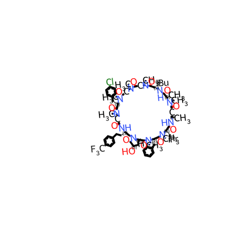 CC[C@H](C)[C@@H]1NC(=O)[C@H](C)N(C)C(=O)C[C@@H](C)NC(=O)[C@H](CC(C)C)N(C)C(=O)[C@H](Cc2ccccc2)N(C)C(=O)[C@@H]2C[C@H](O)CN2C(=O)[C@H](CCc2ccc(C(F)(F)F)cc2)NC(=O)CN(C)C(=O)[C@H](Cc2ccc(Cl)cc2)N(C)C(=O)CN(C)C(=O)CN(C)C1=O